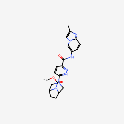 Cc1cn2cc(NC(=O)c3ccc(N4CC5CCC(C4)N5C(=O)OC(C)(C)C)nn3)ccc2n1